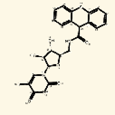 O=C(NC[C@H]1O[C@@H](n2cc(I)c(=O)[nH]c2=O)[C@@H](F)[C@@H]1O)C1c2ccccc2Sc2ccccc21